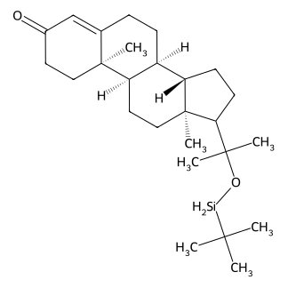 CC(C)(C)[SiH2]OC(C)(C)C1CC[C@H]2[C@@H]3CCC4=CC(=O)CC[C@]4(C)[C@@H]3CC[C@]12C